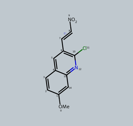 COc1ccc2cc(/C=C/[N+](=O)[O-])c(Cl)nc2c1